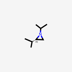 CC(C)[C@H]1CN1C(C)C